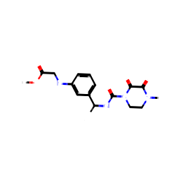 CCN1CCN(C(=O)NC(C(=O)O)c2cccc(NCC(=O)OC(C)(C)C)c2)C(=O)C1=O